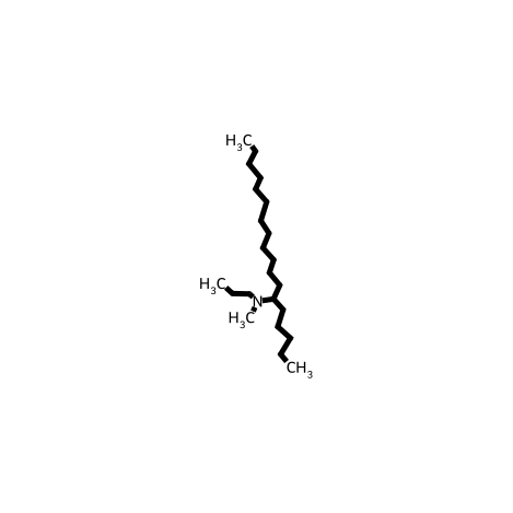 CCCCCCCCCCCCC(CCCCC)N(C)CCC